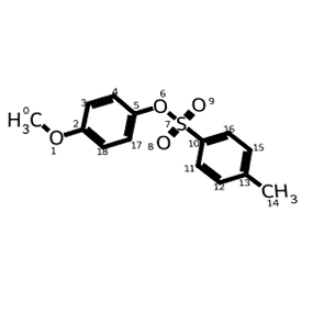 COc1ccc(OS(=O)(=O)c2ccc(C)cc2)cc1